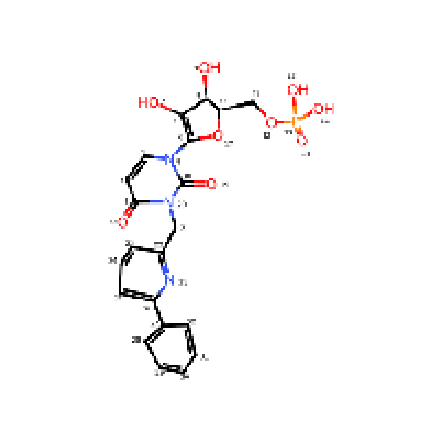 O=c1ccn(C2=C(O)[C@@H](O)[C@@H](COP(=O)(O)O)O2)c(=O)n1Cc1cccc(-c2ccccc2)n1